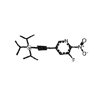 CC(C)[Si](C#Cc1cnc([N+](=O)[O-])c(F)c1)(C(C)C)C(C)C